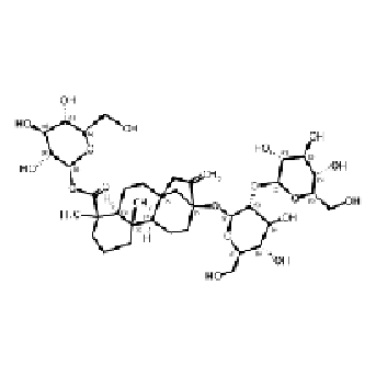 C=C1C[C@]23CC[C@@H]4C(C)(C(=O)O[C@@H]5O[C@H](CO)[C@@H](O)[C@H](O)[C@H]5O)CCC[C@@]4(C)[C@@H]2CC[C@]1(O[C@@H]1O[C@H](CO)[C@@H](O)[C@H](O)[C@H]1O[C@@H]1O[C@H](CO)[C@@H](O)[C@H](O)[C@H]1O)C3